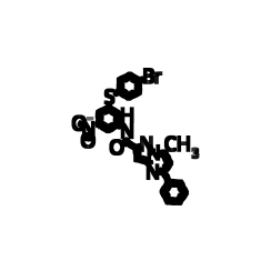 Cc1cc(-c2ccccc2)nc2cc(C(=O)Nc3cc(Sc4ccc(Br)cc4)cc([N+](=O)[O-])c3)nn12